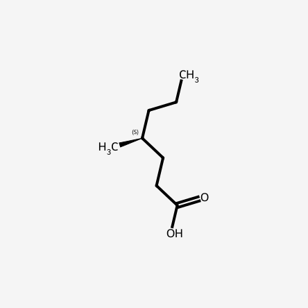 CCC[C@H](C)CCC(=O)O